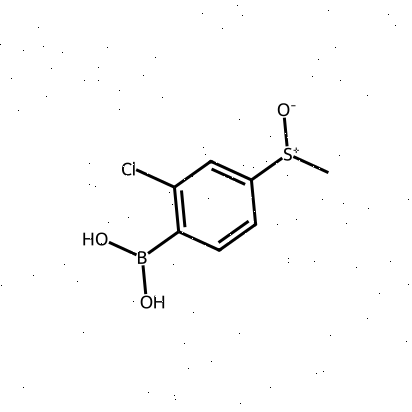 C[S+]([O-])c1ccc(B(O)O)c(Cl)c1